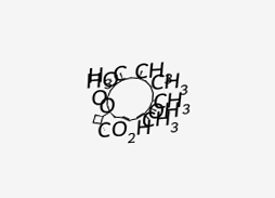 C/C1=C/C=C/C[C@@H]([C@@H]2CC[C@H]2C(=O)O)OC(=O)C[C@H](O)[C@@H](C)C[C@@H](C)C[C@@H](C)C[C@H](C)[C@H]1O